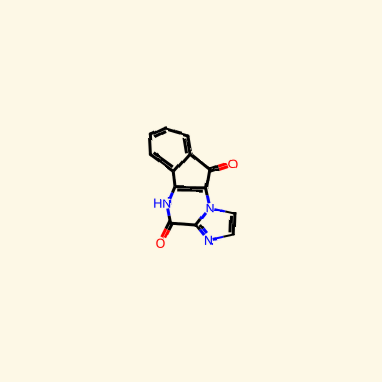 O=C1c2ccccc2-c2[nH]c(=O)c3nccn3c21